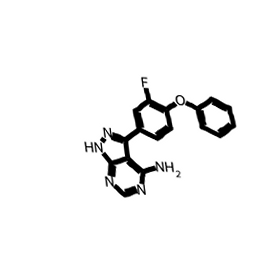 Nc1ncnc2[nH]nc(-c3ccc(Oc4ccccc4)c(F)c3)c12